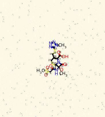 CO[C@@]1(NC(=O)CS(C)(=O)=O)C(=O)N2C(C(=O)O)=C(CSc3nnnn3C)CS[C@@H]21